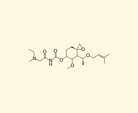 CCN(C)CC(=O)NC(=O)OC1CC[C@]2(CO2)C([C@H](C)OCC=C(C)C)C1OC